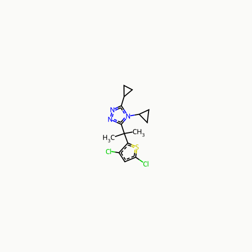 CC(C)(c1sc(Cl)cc1Cl)c1nnc(C2CC2)n1C1CC1